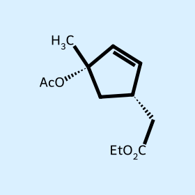 CCOC(=O)C[C@H]1C=C[C@@](C)(OC(C)=O)C1